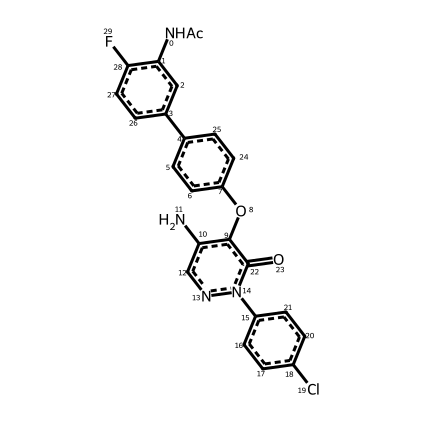 CC(=O)Nc1cc(-c2ccc(Oc3c(N)cnn(-c4ccc(Cl)cc4)c3=O)cc2)ccc1F